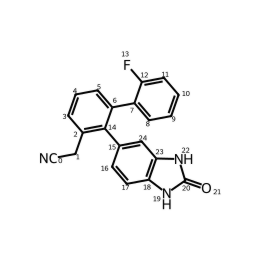 N#CCc1cccc(-c2ccccc2F)c1-c1ccc2[nH]c(=O)[nH]c2c1